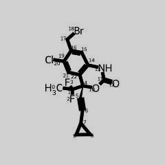 CC(F)(F)[C@@]1(C#CC2CC2)OC(=O)Nc2cc(CBr)c(Cl)cc21